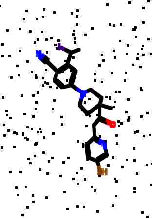 CC(I)c1cc(N2CCC(C)(C(=O)Cc3ccc(S)cn3)CC2)ccc1C#N